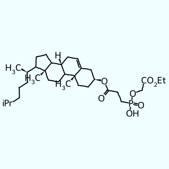 CCOC(=O)COP(=O)(O)CCC(=O)O[C@H]1CC[C@@]2(C)C(=CC[C@H]3C4CCC([C@H](C)CCCC(C)C)[C@@]4(C)CCC32)C1